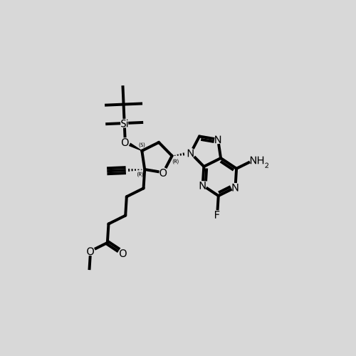 C#C[C@@]1(CCCCC(=O)OC)O[C@@H](n2cnc3c(N)nc(F)nc32)C[C@@H]1O[Si](C)(C)C(C)(C)C